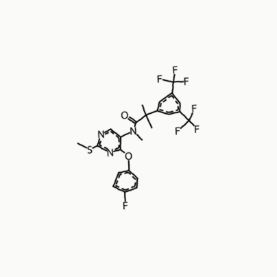 CSc1ncc(N(C)C(=O)C(C)(C)c2cc(C(F)(F)F)cc(C(F)(F)F)c2)c(Oc2ccc(F)cc2)n1